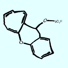 O=S(=O)(O)OC1c2ccccc2Oc2ccccc21